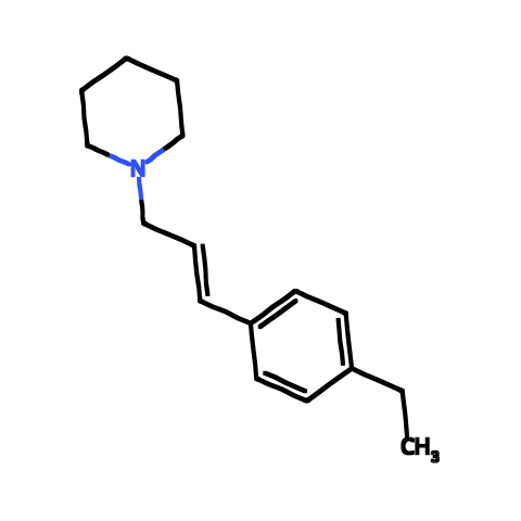 CCc1ccc(/C=C/CN2CCCCC2)cc1